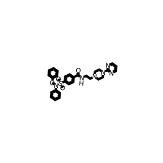 O=C(NCCN1CCN(c2ncccn2)CC1)c1ccc(S(=O)(=O)N(Oc2ccccc2)c2ccccc2)cc1